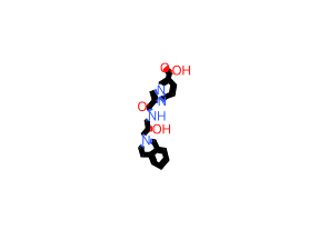 O=C(O)c1ccc2nc(C(=O)NCC(O)CN3CCc4ccccc4C3)cn2c1